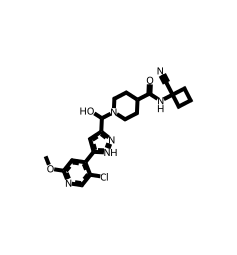 COc1cc(-c2cc(C(O)N3CCC(C(=O)NC4(C#N)CCC4)CC3)n[nH]2)c(Cl)cn1